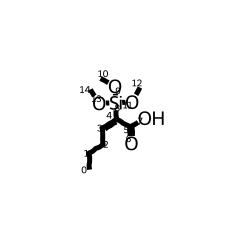 CCC/C=C(\C(=O)O)[Si](OC)(OC)OC